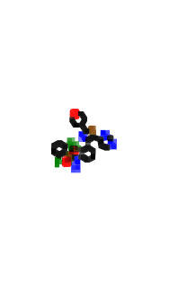 O=S(=O)(NC1=CCCC(c2nc(C3CCOCC3)sc2-c2ccncn2)=C1Cl)c1c(F)cccc1F